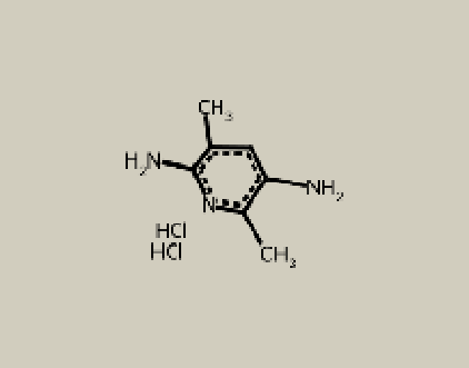 Cc1cc(N)c(C)nc1N.Cl.Cl